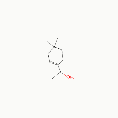 CC(O)C1=CCC(C)(C)CC1